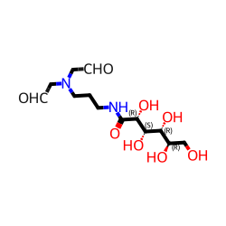 O=CCN(CC=O)CCCNC(=O)[C@H](O)[C@@H](O)[C@H](O)[C@H](O)CO